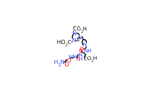 NC(=O)COCCNC(=O)CNC(=O)C(CCC(=O)O)NC(=O)CN1CCC(CN2CCN(CC(=O)O)CCN(CC(=O)O)CC2)CC1